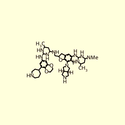 CNC1CC(C)NC(Nc2cc3c(c(N4C[C@H]5CNC[C@H]5C4)c2F)OC(CNC2CC(C)NC(Nc4cc5c(c(C6CCCNCC6)c4)OCCO5)N2)C3)N1